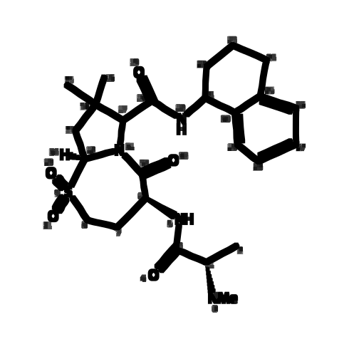 CN[C@@H](C)C(=O)N[C@H]1CCS(=O)(=O)[C@H]2CC(C)(C)C(C(=O)NC3CCCc4ccccc43)N2C1=O